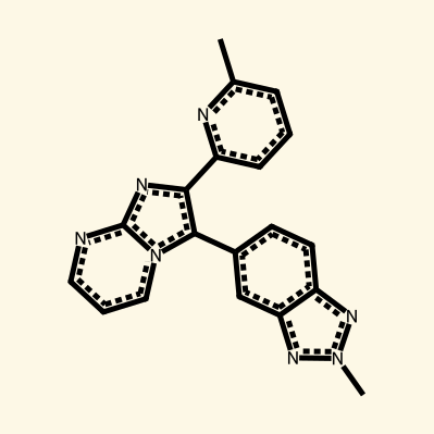 Cc1cccc(-c2nc3ncccn3c2-c2ccc3nn(C)nc3c2)n1